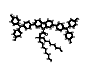 CCCCCCCCC(C)(CCCCCCCC)OC(=O)n1c2cc(-c3ccc(N(c4ccc(C)cc4)c4ccc(C)cc4)cc3)ccc2c2ccc(-c3ccc(N(c4ccc(C)cc4)c4ccc(C)cc4)cc3)cc21